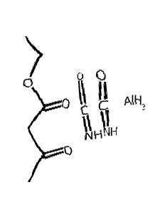 CCOC(=O)CC(C)=O.N=C=O.N=C=O.[AlH3]